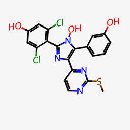 CSc1nccc(-c2nc(-c3c(Cl)cc(O)cc3Cl)n(O)c2-c2cccc(O)c2)n1